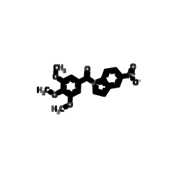 COc1cc(C(=O)n2ccc3cc([N+](=O)[O-])ccc32)cc(OC)c1OC